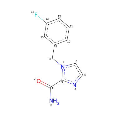 NC(=O)c1n[c]cn1Cc1cccc(F)c1